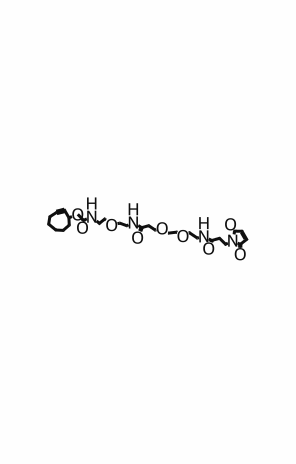 O=C(CCOCCOCCNC(=O)CCN1C(=O)C=CC1=O)NCCOCCNC(=O)OC1C#CCCCCC1